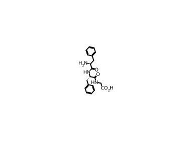 N[C@@H](Cc1ccccc1)C(=O)N[C@@H](Cc1ccccc1)C(=O)NCC(=O)O